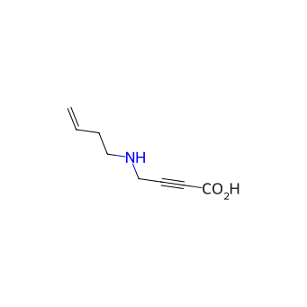 C=CCCNCC#CC(=O)O